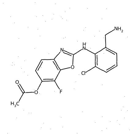 CC(=O)Oc1ccc2nc(Nc3c(Cl)cccc3CN)oc2c1F